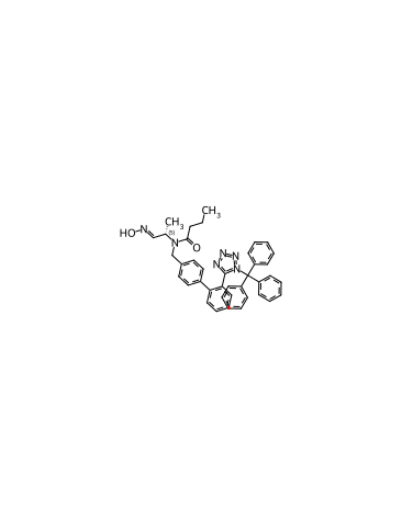 CCCC(=O)N(Cc1ccc(-c2ccccc2-c2nnnn2C(c2ccccc2)(c2ccccc2)c2ccccc2)cc1)[C@@H](C)C=NO